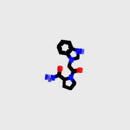 NC(=O)C1CCCN1C(=O)CN1CNc2ccccc21